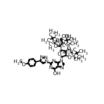 C=CCC(O[Si](C)(C)C(C)(C)C)[C@H]1O[C@@H](n2cnc3c(O)nc(-n4cc(-c5ccc(OC)cc5)nn4)nc32)[C@H](O[Si](C)(C)C(C)(C)C)[C@@H]1O[Si](C)(C)C(C)(C)C